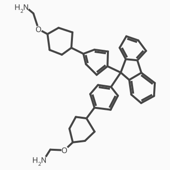 NCOC1CCC(c2ccc(C3(c4ccc(C5CCC(OCN)CC5)cc4)c4ccccc4-c4ccccc43)cc2)CC1